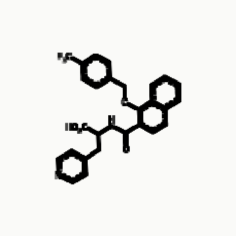 O=C(NC(Cc1ccncc1)C(=O)O)c1ccc2ccccc2c1OCc1ccc(C(F)(F)F)cc1